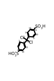 O=S(=O)(O)c1ccc(C(Cl)(Cl)c2ccc(S(=O)(=O)O)cc2)cc1